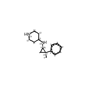 C[C@@]1(c2ccccc2)C[C@H]1NC1CCNCC1